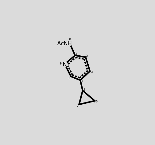 CC(=O)Nc1ccc(C2[CH]C2)cn1